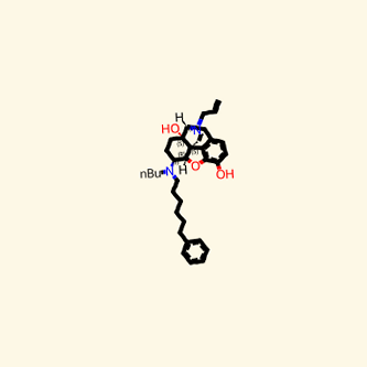 C=CCN1CC[C@]23c4c5ccc(O)c4O[C@H]2[C@@H](N(CCCC)CCCCCCc2ccccc2)CC[C@@]3(O)[C@H]1C5